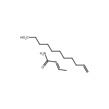 C=CCCCCCCCCC(=O)O.CC=NC(N)=O